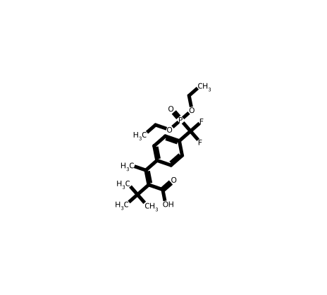 CCOP(=O)(OCC)C(F)(F)c1ccc(C(C)=C(C(=O)O)C(C)(C)C)cc1